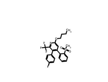 CCCCOc1cc(-c2ccccc2S(C)(=O)=O)c(-c2ccc(F)cc2)c(C(F)(F)F)n1